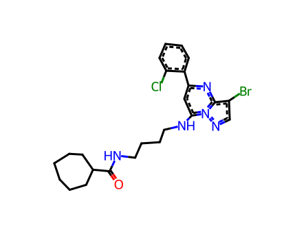 O=C(NCCCCNc1cc(-c2ccccc2Cl)nc2c(Br)cnn12)C1CCCCCC1